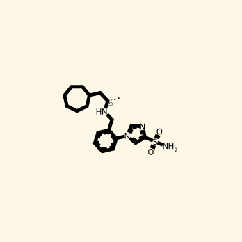 C[C@@H](CC1CCCCCC1)NCc1ccccc1-n1cnc(S(N)(=O)=O)c1